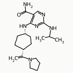 C=C([C@H]1CC[C@@H](Nc2nc(NC(C)C)ncc2C(N)=O)CC1)N1CCCC1